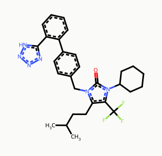 CC(C)CCc1c(C(F)(F)F)n(C2CCCCC2)c(=O)n1Cc1ccc(-c2ccccc2-c2nnn[nH]2)cc1